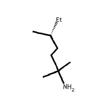 CC[C@@H](C)CCC(C)(C)N